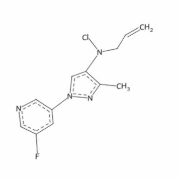 C=CCN(Cl)c1cn(-c2cncc(F)c2)nc1C